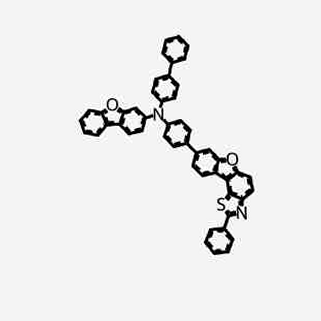 c1ccc(-c2ccc(N(c3ccc(-c4ccc5c(c4)oc4ccc6nc(-c7ccccc7)sc6c45)cc3)c3ccc4c(c3)oc3ccccc34)cc2)cc1